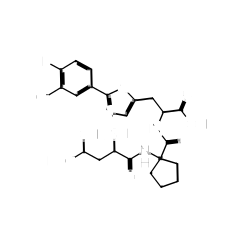 CC(C)CC(S)C(=O)NC1(C(=O)NC(Cc2cnc(-c3ccc(F)c(Cl)c3)s2)C(=O)O)CCCC1